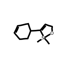 C[Si]1(C)OCC=C1C1CC=CCC1